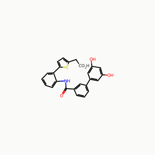 O=C(O)Cc1ccc(-c2ccccc2NC(=O)c2cccc(-c3cc(O)cc(O)c3)c2)s1